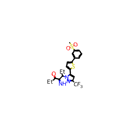 CCC(=O)C(=N)C(CC)n1nc(C(F)(F)F)cc1-c1ccc(-c2cccc(S(C)(=O)=O)c2)s1